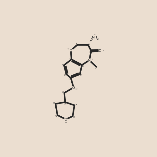 CN1C(=O)[C@@H](N)COc2ccc(OCC3CCOCC3)cc21